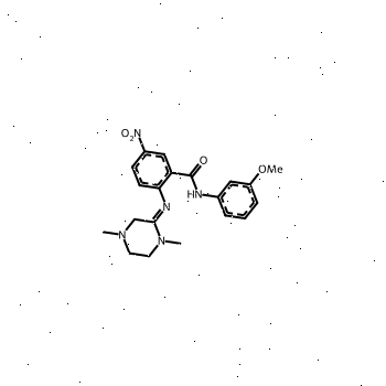 COc1cccc(NC(=O)c2cc([N+](=O)[O-])ccc2N=C2CN(C)CCN2C)c1